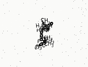 CCCN(C)CC[C@H](CSc1ccccc1)Nc1ccc(S(=O)(=O)Nc2ccc(N3CCN(c4cc(F)cc(-c5c(S(C)(=O)=O)c(C)n(C(C)C)c5-c5ccc(Cl)cc5)c4)CC3)cc2)cc1S(=O)(=O)C(F)(F)F